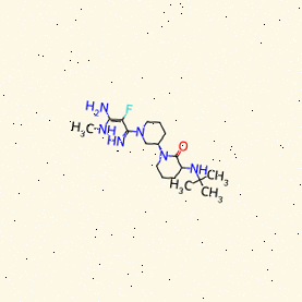 CN/C(N)=C(/F)C(=N)N1CCC[C@@H](N2CCCC(NC(C)(C)C)C2=O)C1